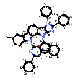 CC1C=c2c(n(-c3cc(-c4ccccc4)cc(-c4ccccc4)n3)c3c2ccc2c4c(nc(-c5ccccc5)n4-c4ccccc4)n(-c4ccccc4)c23)=CC1